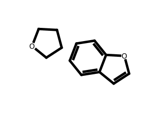 C1CCOC1.c1ccc2occc2c1